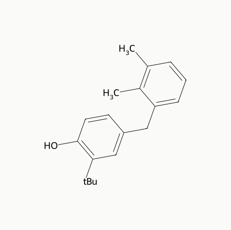 Cc1cccc(Cc2ccc(O)c(C(C)(C)C)c2)c1C